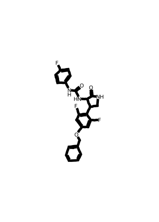 O=C(Nc1ccc(F)cc1)NC1C(=O)NCC1c1c(F)cc(OCc2ccccc2)cc1F